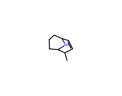 CC1C=CC2CCCC1N2